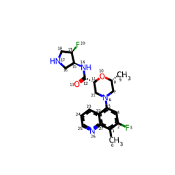 Cc1c(F)cc(N2C[C@@H](C)O[C@@H](C(=O)N[C@H]3CNC[C@H]3F)C2)c2cccnc12